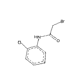 O=C(CBr)Nc1ccccc1Cl